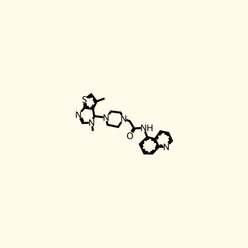 Cc1csc2c1C(N1CCN(CC(=O)Nc3cccc4ncccc34)CC1)N(C)C=N2